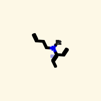 C=CCCN(CC)/C(C=C)=C/C